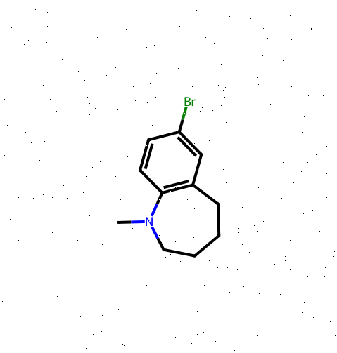 CN1CCCCc2cc(Br)ccc21